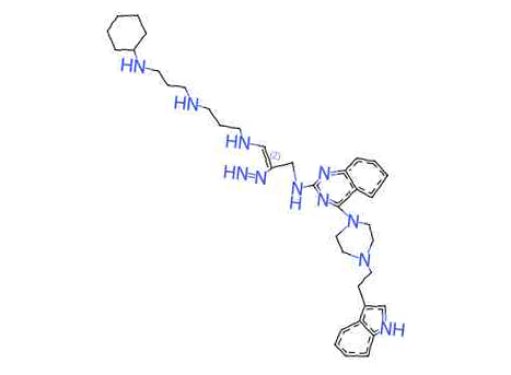 N=N/C(=C\NCCCNCCCNC1CCCCC1)CNc1nc(N2CCN(CCc3c[nH]c4ccccc34)CC2)c2ccccc2n1